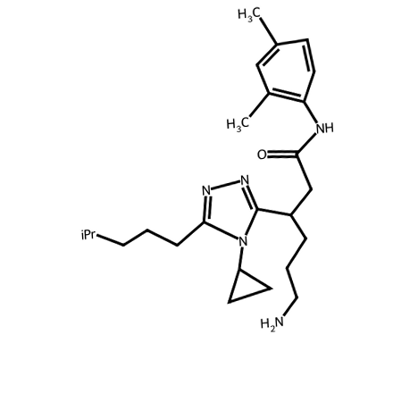 Cc1ccc(NC(=O)CC(CCCN)c2nnc(CCCC(C)C)n2C2CC2)c(C)c1